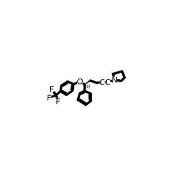 FC(F)(F)c1ccc(O[C@@H](CCCCN2CCCC2)c2ccccc2)cc1